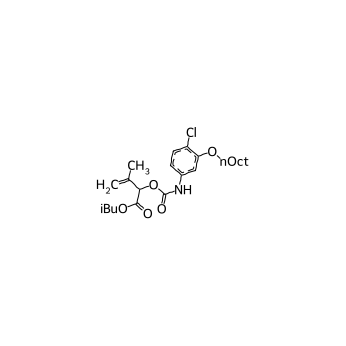 C=C(C)C(OC(=O)Nc1ccc(Cl)c(OCCCCCCCC)c1)C(=O)OCC(C)C